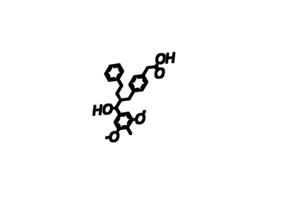 COc1cc(C(O)[C@@H](CCc2ccccc2)Cc2ccc(CC(=O)O)cc2)cc(OC)c1C